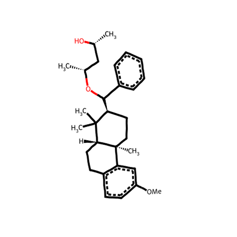 COc1ccc2c(c1)[C@]1(C)CC[C@H](C(O[C@H](C)C[C@@H](C)O)c3ccccc3)C(C)(C)[C@H]1CC2